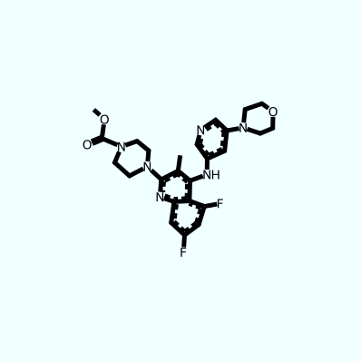 COC(=O)N1CCN(c2nc3cc(F)cc(F)c3c(Nc3cncc(N4CCOCC4)c3)c2C)CC1